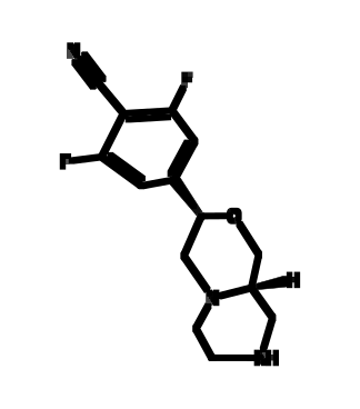 N#Cc1c(F)cc([C@@H]2CN3CCNC[C@H]3CO2)cc1F